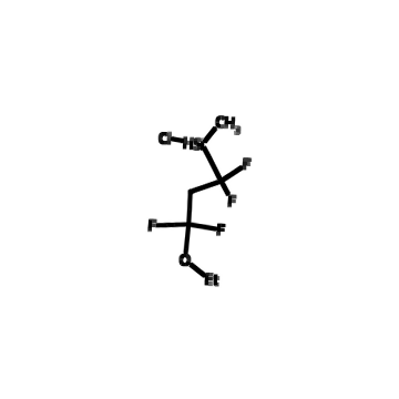 CCOC(F)(F)CC(F)(F)[SiH](C)Cl